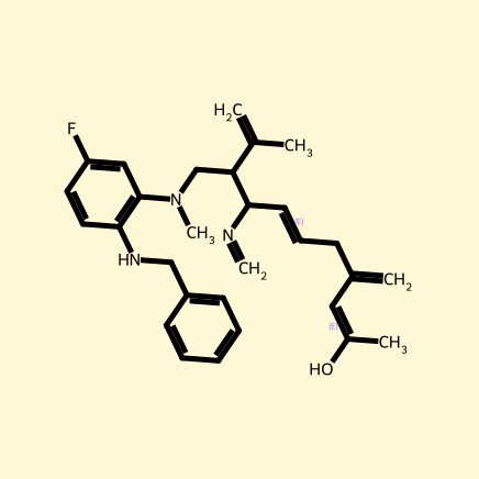 C=NC(/C=C/CC(=C)/C=C(\C)O)C(CN(C)c1cc(F)ccc1NCc1ccccc1)C(=C)C